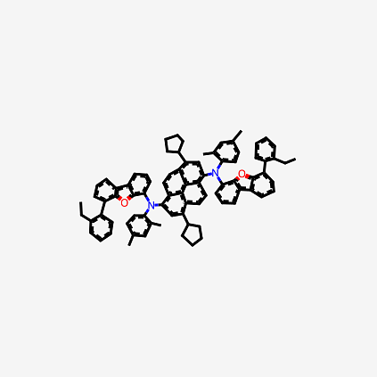 CCc1ccccc1-c1cccc2c1oc1c(N(c3ccc(C)cc3C)c3cc(C4CCCC4)c4ccc5c(N(c6ccc(C)cc6C)c6cccc7c6oc6c(-c8ccccc8CC)cccc67)cc(C6CCCC6)c6ccc3c4c65)cccc12